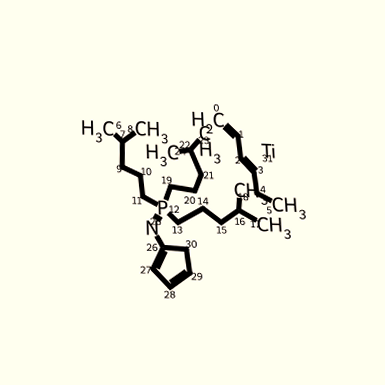 C=CC=CCC.CC(C)CCCP(CCCC(C)C)(CCCC(C)C)=NC1=CC=CC1.[Ti]